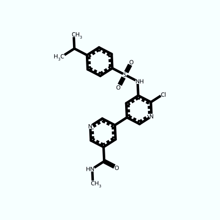 CNC(=O)c1cncc(-c2cnc(Cl)c(NS(=O)(=O)c3ccc(C(C)C)cc3)c2)c1